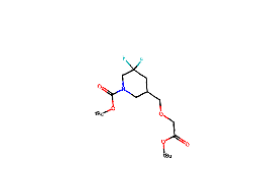 CC(C)(C)OC(=O)COCC1CN(C(=O)OC(C)(C)C)CC(F)(F)C1